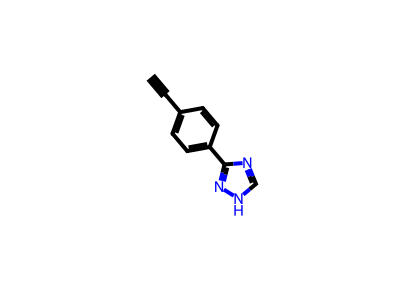 C#Cc1ccc(-c2nc[nH]n2)cc1